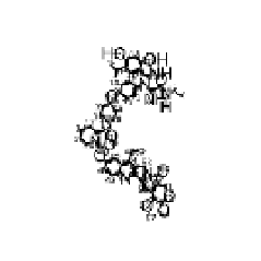 CCNC(=O)C(=N)N(C(=N)c1cc(C(C)C)c(O)cc1O)c1ccc(OC2CCN(C(=O)C3CCCCN3C(=O)Oc3ccc4nc5c(c(CC)c4c3)Cn3c-5cc4c(c3=O)COC(=O)[C@H]4OC)CC2)cc1